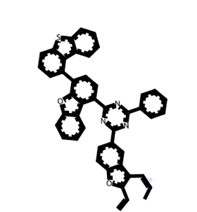 C=Cc1oc2ccc(-c3nc(-c4ccccc4)nc(-c4ccc(-c5cccc6sc7ccccc7c56)c5oc6ccccc6c45)n3)cc2c1/C=C\C